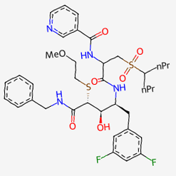 CCCC(CCC)S(=O)(=O)CC(NC(=O)c1cccnc1)C(=O)N[C@@H](Cc1cc(F)cc(F)c1)[C@@H](O)[C@@H](SCCOC)C(=O)NCc1ccccc1